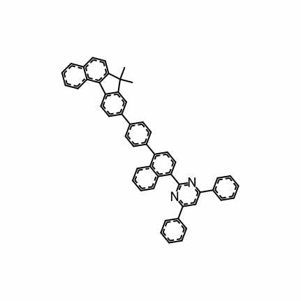 CC1(C)c2cc(-c3ccc(-c4ccc(-c5nc(-c6ccccc6)cc(-c6ccccc6)n5)c5ccccc45)cc3)ccc2-c2c1ccc1ccccc21